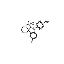 CC(=O)c1cnc(N2c3ccc(F)cc3C3(CCCCC3)[C@H]2S(C)(=O)=O)cn1